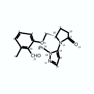 Cc1cccc(OC[C@@H]2CCC(=O)N2c2ccnn2C(C)C)c1C=O